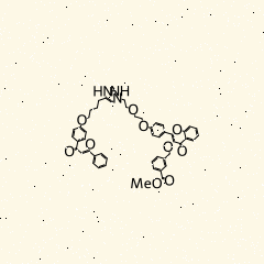 COC(=O)c1cccc(COc2c(-c3ccc(OCCOCCN4C=C(CCCCOc5ccc6c(=O)cc(-c7ccccc7)oc6c5)NN4)cc3)oc3ccccc3c2=O)c1